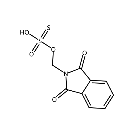 O=C1c2ccccc2C(=O)N1COS(=O)(O)=S